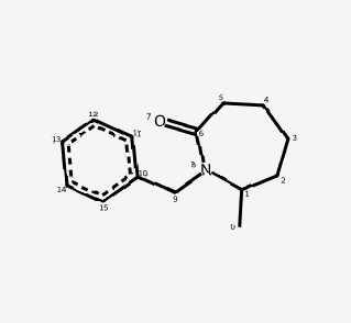 CC1CCCCC(=O)N1Cc1ccccc1